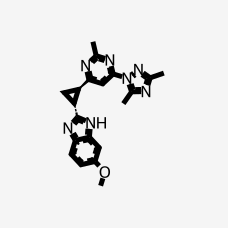 COc1ccc2nc([C@@H]3C[C@H]3c3cc(-n4nc(C)nc4C)nc(C)n3)[nH]c2c1